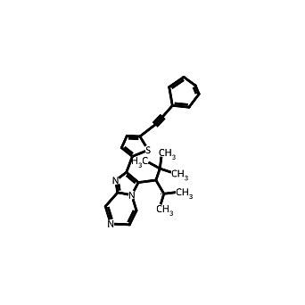 C[C](C)C(c1c(-c2ccc(C#Cc3ccccc3)s2)nc2cnccn12)C(C)(C)C